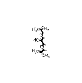 C=C(C)COCC(O)COCC(=C)C